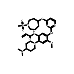 C=CC(=O)Nc1cc(Nc2nccc(OC3CCCN(S(C)(=O)=O)CC3)n2)c(OC)cc1N1CCC(N(C)C)CC1